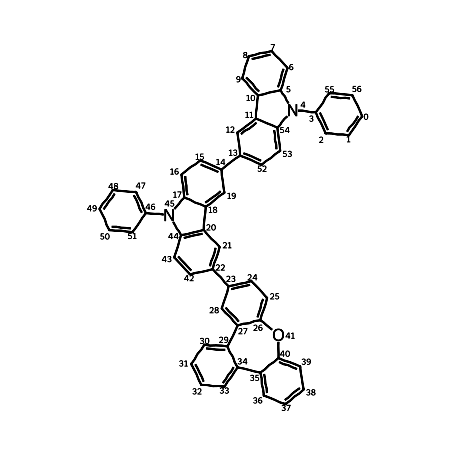 c1ccc(-n2c3ccccc3c3cc(-c4ccc5c(c4)c4cc(-c6ccc7c(c6)-c6ccccc6-c6ccccc6O7)ccc4n5-c4ccccc4)ccc32)cc1